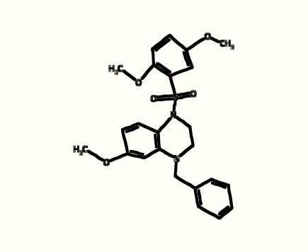 COc1ccc2c(c1)N(Cc1ccccc1)CCN2S(=O)(=O)c1cc(OC)ccc1OC